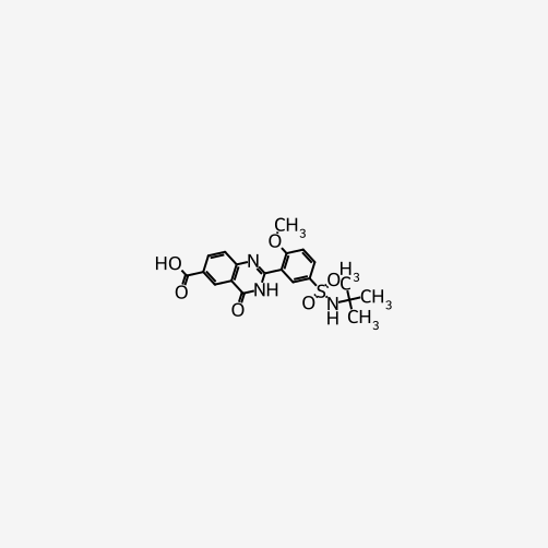 COc1ccc(S(=O)(=O)NC(C)(C)C)cc1-c1nc2ccc(C(=O)O)cc2c(=O)[nH]1